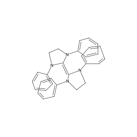 c1ccc(N2CCN(c3ccccc3)C2=C2N(c3ccccc3)CCN2c2ccccc2)cc1